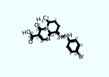 CC1CCC(=NNc2ccc(Br)cc2)c2ncc(C(=O)O)c(=O)n21